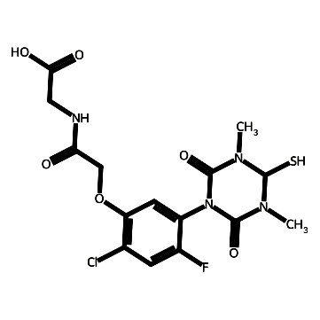 CN1C(=O)N(c2cc(OCC(=O)NCC(=O)O)c(Cl)cc2F)C(=O)N(C)C1S